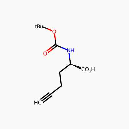 C#CCC[C@@H](NC(=O)OC(C)(C)C)C(=O)O